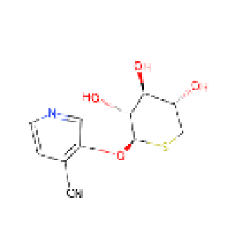 N#Cc1ccncc1O[C@@H]1SC[C@@H](O)[C@H](O)[C@H]1O